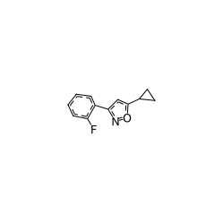 Fc1ccccc1-c1cc(C2CC2)on1